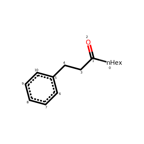 CCCCCCC(=O)CCc1ccccc1